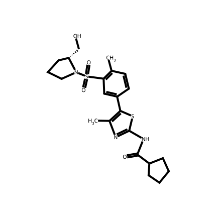 Cc1ccc(-c2sc(NC(=O)C3CCCC3)nc2C)cc1S(=O)(=O)N1CCC[C@@H]1CO